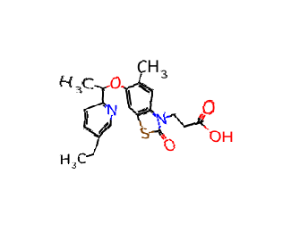 CCc1ccc(C(C)Oc2cc3sc(=O)n(CCC(=O)O)c3cc2C)nc1